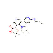 CCCCNc1ccc(-c2cnc(C)c(C(OC(C)(C)C)C(=O)O)c2N2CCC(C)(C)CC2)cn1